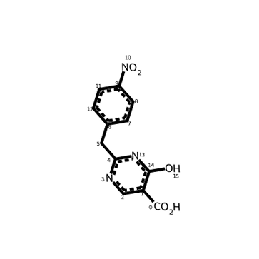 O=C(O)c1cnc(Cc2ccc([N+](=O)[O-])cc2)nc1O